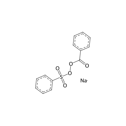 O=C(OOS(=O)(=O)c1ccccc1)c1ccccc1.[Na]